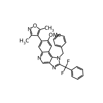 COc1cc2c(cc1-c1c(C)noc1C)ncc1nc(C(F)(F)c3ccccc3)n(Cc3ccccc3)c12